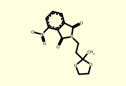 CC1(CCN2C(=O)c3cccc([N+](=O)[O-])c3C2=O)OCCO1